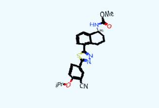 COC(=O)N[C@@H]1CCCc2c(-c3nnc(-c4ccc(OC(C)C)c(C#N)c4)s3)cccc21